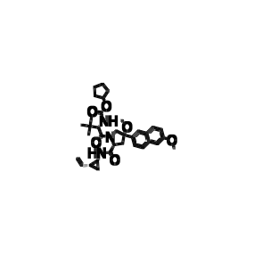 C=C[C@H]1C[C@H]1NC(=O)[C@@H]1C[C@@](OC)(c2ccc3cc(OC)ccc3c2)CN1C(=O)[C@@H](NC(=O)OC1CCCC1)C(C)(C)C